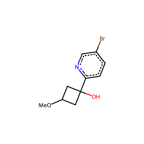 COC1CC(O)(c2ccc(Br)cn2)C1